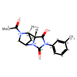 COC(=O)N1CC2C[C@@H]1[C@@H]1C(=O)N(c3cccc(C(F)(F)F)c3)C(=O)N21